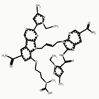 CCn1nc(C)cc1C(=O)Nc1nc2cc(C(N)=O)cnc2n1CC=CCn1c2nc(-c3cc(C)nn3CC)ncc2c2cc(C(N)=O)cc(OCCCN(C)C(=O)O)c21